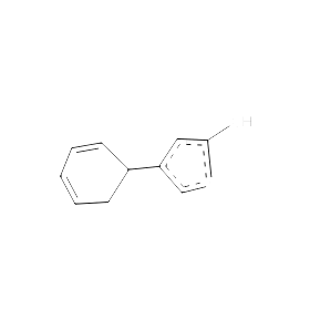 Cc1cc(C2C=CC=CC2)cs1